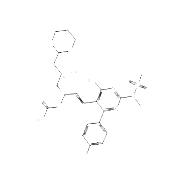 CC(C)C(=O)O[C@H](/C=C/c1c(-c2ccc(F)cc2)nc(N(C)S(C)(=O)=O)nc1C(C)C)C[C@@H](O)CC1OCCCO1